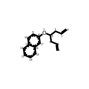 C=CCC(CC=C)Oc1ccc2ccccc2c1